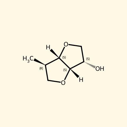 C[C@@H]1CO[C@@H]2[C@H]1OC[C@@H]2O